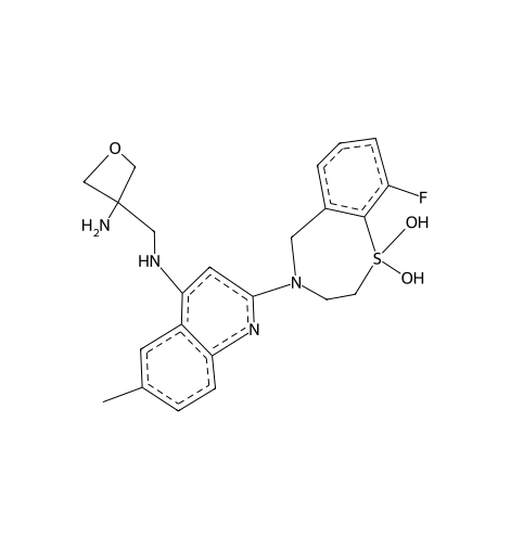 Cc1ccc2nc(N3CCS(O)(O)c4c(F)cccc4C3)cc(NCC3(N)COC3)c2c1